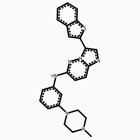 CN1CCN(c2cccc(Nc3ccc4ncc(-c5cc6ccccc6s5)n4n3)c2)CC1